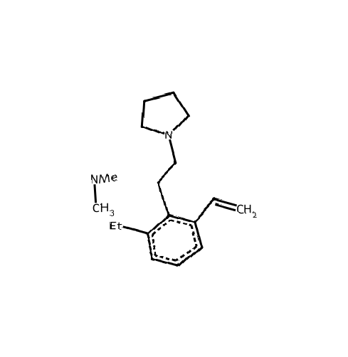 C=Cc1cccc(CC)c1CCN1CCCC1.CNC